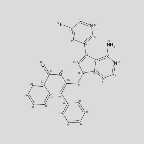 Nc1ncnc2c1c(-c1cncc(F)c1)nn2Cc1oc(=O)c2ccccc2c1-c1ccccc1